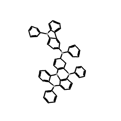 C1=CC(N(c2ccccc2)c2ccc3c(c2)c2ccccc2n3-c2ccccc2)CC2=C1B1c3ccccc3N(c3ccccc3)c3cccc(c31)N2c1ccccc1